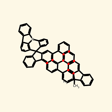 CC1(C)c2ccccc2-c2ccc(N(c3ccccc3-c3ccc4c(c3)C3(c5ccccc5-4)c4ccccc4-n4c5ccccc5c5cccc3c54)c3ccccc3-c3ccccc3-c3ccccc3)cc21